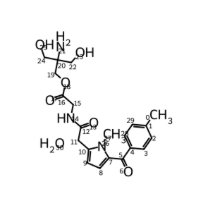 Cc1ccc(C(=O)c2ccc(CC(=O)NCC(=O)OCC(N)(CO)CO)n2C)cc1.O